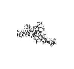 [2H]C([2H])([2H])N(C(=O)OC(C)(C)C)[C@@H]1C[C@H](c2c(OC(F)F)cccc2C(=O)O)n2c1nc1cc(F)c(-c3cnc(N4CCNC(=O)C4)nc3)cc12